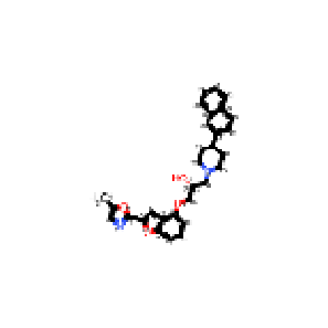 Cc1cnc(-c2cc3c(OC[C@H](O)CN4CCC(c5ccc6ccccc6c5)CC4)cccc3o2)o1